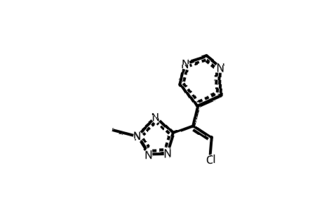 Cn1nnc(/C(=C\Cl)c2cncnc2)n1